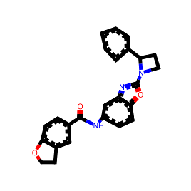 O=C(Nc1ccc2oc(N3CCC3c3ccccc3)nc2c1)c1ccc2c(c1)CCO2